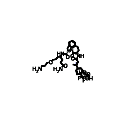 C/C(=C\C(=O)N[C@H]1CCc2cccc3c2N(C1=O)[C@H](C(=O)N[C@H](CCCOCCCN)CCC(N)=O)C3)c1ccc(C(F)(F)P(=O)(O)O)cc1